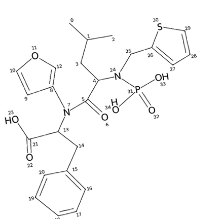 CC(C)CC(C(=O)N(c1ccoc1)C(Cc1ccccc1)C(=O)O)N(Cc1cccs1)P(=O)(O)O